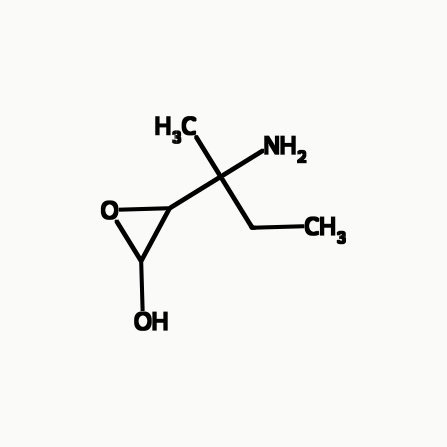 CCC(C)(N)C1OC1O